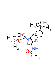 CC(=O)Nc1cn(C(=O)OC(C)(C)C)c2cc3c(nc12)CCC(C(C)(C)C)C3